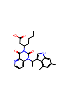 CCCCC(CC(=O)O)n1c(=O)c2ncccc2n(C(C)c2c[nH]c3cc(C)cc(C)c23)c1=O